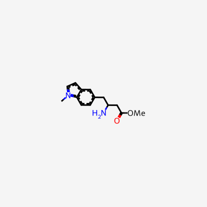 COC(=O)CC(N)Cc1ccc2c(ccn2C)c1